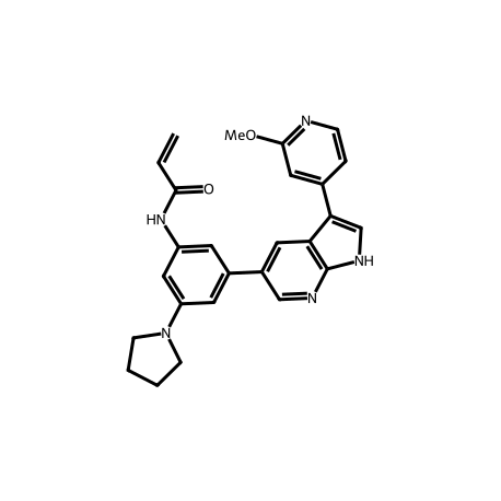 C=CC(=O)Nc1cc(-c2cnc3[nH]cc(-c4ccnc(OC)c4)c3c2)cc(N2CCCC2)c1